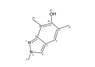 Cc1cc2cn(C)nc2c(C)c1O